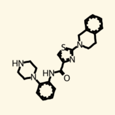 O=C(Nc1ccccc1N1CCNCC1)c1csc(N2CCc3ccccc3C2)n1